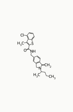 C=C1c2ccc(CNC(=O)c3sc4cccc(Cl)c4c3C)cc2CN1C(C)CCC